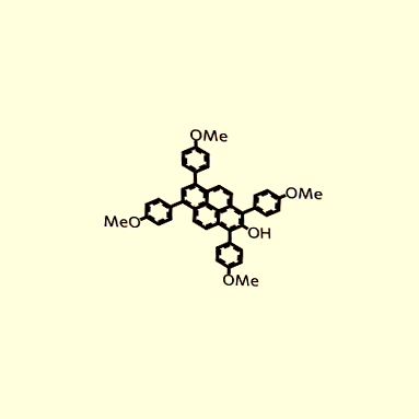 COc1ccc(-c2cc(-c3ccc(OC)cc3)c3ccc4c(-c5ccc(OC)cc5)c(O)c(-c5ccc(OC)cc5)c5ccc2c3c54)cc1